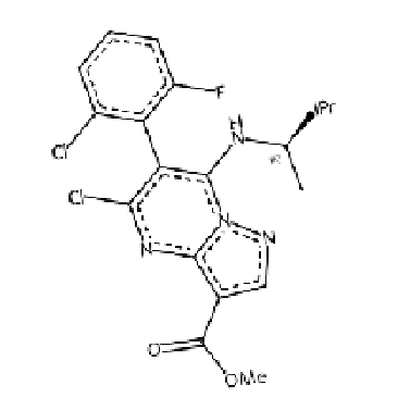 COC(=O)c1cnn2c(N[C@H](C)C(C)C)c(-c3c(F)cccc3Cl)c(Cl)nc12